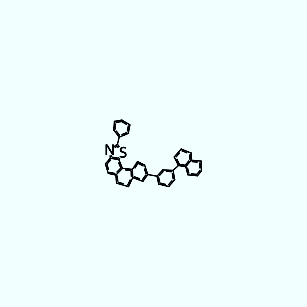 c1ccc(-c2nc3ccc4ccc5cc(-c6cccc(-c7cccc8ccccc78)c6)ccc5c4c3s2)cc1